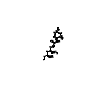 CCC(O)CC(N)COC(=O)Nc1ccc(F)cc1F